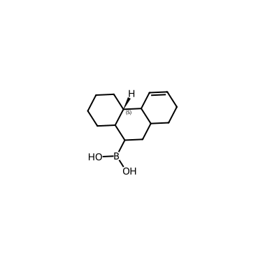 OB(O)C1CC2CCC=CC2[C@H]2CCCCC12